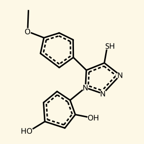 COc1ccc(-c2c(S)nnn2-c2ccc(O)cc2O)cc1